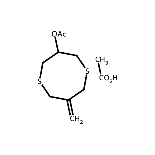 C=C1CSCC(OC(C)=O)CSC1.CC(=O)O